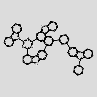 c1ccc(-n2c3ccccc3c3cc(-c4cccc(-c5cccc(-c6ccc7oc8cccc(-c9nc(-c%10ccc%11c(c%10)sc%10ccccc%10%11)nc(-n%10c%11ccccc%11c%11ccccc%11%10)n9)c8c7c6)c5)c4)ccc32)cc1